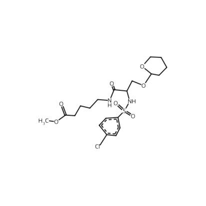 COC(=O)CCCCNC(=O)C(COC1CCCCO1)NS(=O)(=O)c1ccc(Cl)cc1